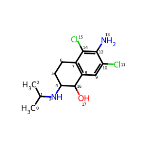 CC(C)NC1CCc2c(cc(Cl)c(N)c2Cl)C1O